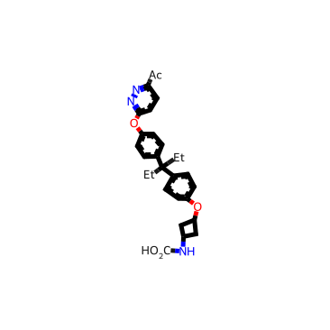 CCC(CC)(c1ccc(Oc2ccc(C(C)=O)nn2)cc1)c1ccc(OC2CC(NC(=O)O)C2)cc1